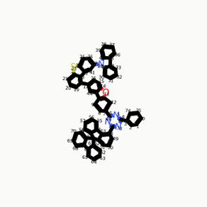 c1ccc(-c2nc(-c3ccc4c(c3)oc3ccc(-c5cccc6sc7ccc(-n8c9ccccc9c9ccccc98)cc7c56)cc34)nc(-c3cccc4c3-c3ccccc3C43c4ccccc4-c4ccccc43)n2)cc1